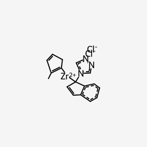 CC1=[C]([Zr+2][C]2(n3cnnc3)C=Cc3ccccc32)CC=C1.[Cl-].[Cl-]